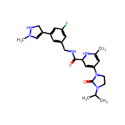 CC1=CC(N2CCN(C(C)C)C2=O)=CC(C(=O)NCc2cc(F)cc(C3=CN(C)NC3)c2)N1